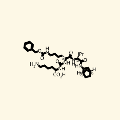 CC(C)[C@H](NC(=O)[C@@H](CCCCNC(=O)OCc1ccccc1)NC(=O)N[C@@H](CCCCN)C(=O)O)C(=O)NC1C[C@@H]2CC[C@H]1C2